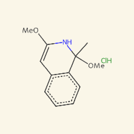 COC1=Cc2ccccc2C(C)(OC)N1.Cl